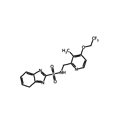 Cc1c(OCC(F)(F)F)ccnc1CNS(=O)(=O)C1=NC2=CC=CCC2=N1